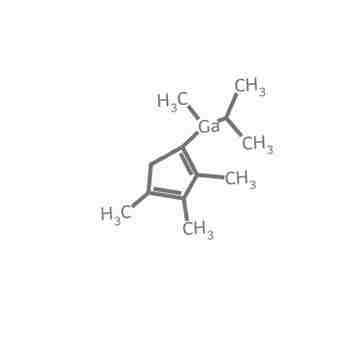 CC1=C(C)C(C)=[C]([Ga]([CH3])[CH](C)C)C1